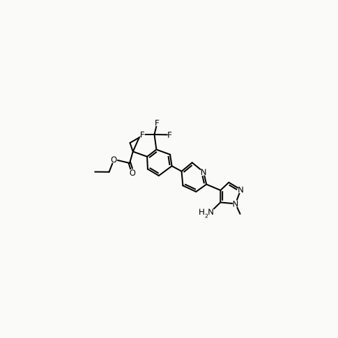 CCOC(=O)C1(c2ccc(-c3ccc(-c4cnn(C)c4N)nc3)cc2C(F)(F)F)CC1